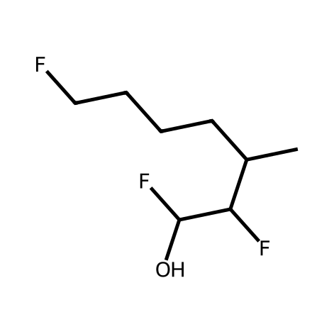 CC(CCCCF)C(F)C(O)F